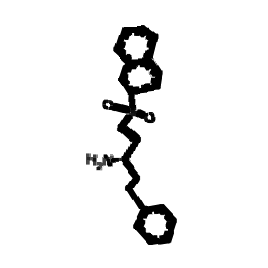 N[C@H](/C=C/S(=O)(=O)c1ccc2ccccc2c1)CCc1ccccc1